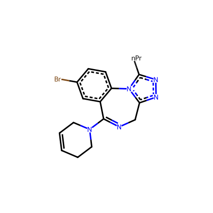 CCCc1nnc2n1-c1ccc(Br)cc1C(N1CC=CCC1)=NC2